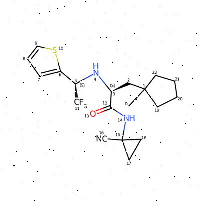 CC1(C[C@H](N[C@H](c2cccs2)C(F)(F)F)C(=O)NC2(C#N)CC2)CCCC1